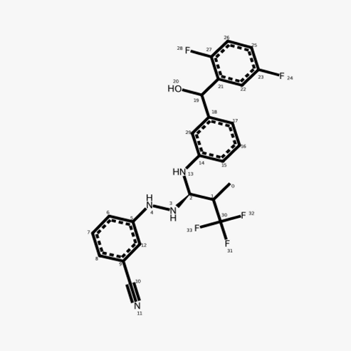 CC([C@@H](NNc1cccc(C#N)c1)Nc1cccc(C(O)c2cc(F)ccc2F)c1)C(F)(F)F